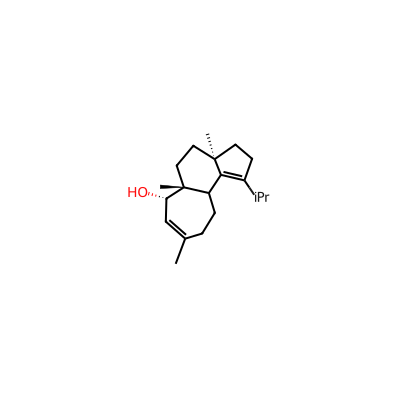 CC1=C[C@H](O)[C@]2(C)CC[C@@]3(C)CCC(C(C)C)=C3C2CC1